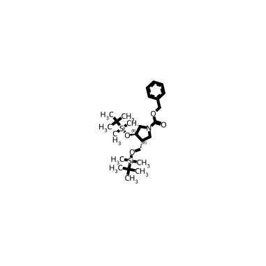 CC(C)(C)[Si](C)(C)OC[C@H]1CN(C(=O)OCc2ccccc2)C[C@@H]1O[Si](C)(C)C(C)(C)C